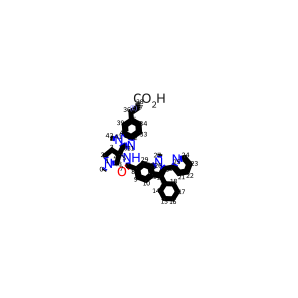 CN1CC[C@@](NC(=O)c2ccc3c(C4CCCCC4)c(-c4ccccn4)n(C)c3c2)(c2nc3ccc(/C=C/C(=O)O)cc3n2C)C1